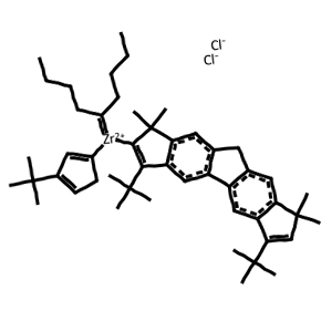 CCCC[C](CCCC)=[Zr+2]([C]1=CC(C(C)(C)C)=CC1)[C]1=C(C(C)(C)C)c2cc3c(cc2C1(C)C)Cc1cc2c(cc1-3)C(C(C)(C)C)=CC2(C)C.[Cl-].[Cl-]